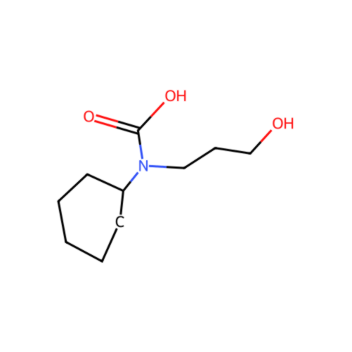 O=C(O)N(CCCO)C1CCCCC1